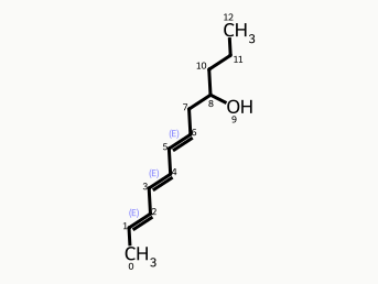 C/C=C/C=C/C=C/CC(O)CCC